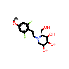 CCCCOc1cc(F)c(CCN2CC(O)C(O)C(O)[C@@H]2CO)c(F)c1